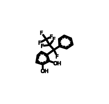 Oc1cccc(C(F)(c2ccccc2)C(F)(F)C(F)(F)F)c1O